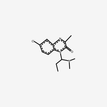 CCC(N(C)C)n1c(=O)c(C)nc2cc(Cl)ccc21